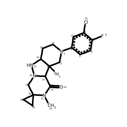 [2H]C12CN(c3ccc(F)c(Cl)c3)CCC1NN1CC3(CC3)N(C)C(=O)C12